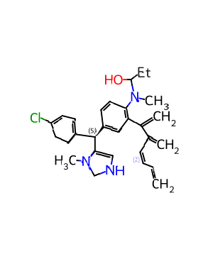 C=C/C=C\C(=C)C(=C)c1cc([C@H](C2=CC=C(Cl)CC2)C2=CNCN2C)ccc1N(C)C(O)CC